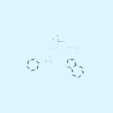 C[C@H](Cc1c[nH]c2ccccc12)NCC1(CN[C@@H]2C[C@H]2c2ccccc2)CC1